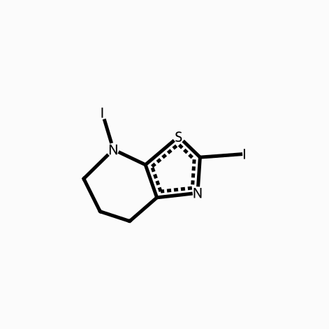 Ic1nc2c(s1)N(I)CCC2